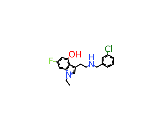 CCn1cc(CCNCc2cccc(Cl)c2)c2c(O)cc(F)cc21